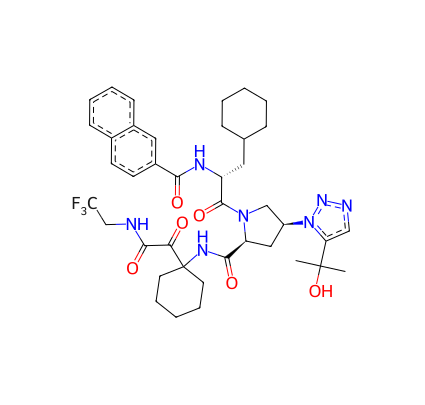 CC(C)(O)c1cnnn1[C@H]1C[C@@H](C(=O)NC2(C(=O)C(=O)NCC(F)(F)F)CCCCC2)N(C(=O)[C@@H](CC2CCCCC2)NC(=O)c2ccc3ccccc3c2)C1